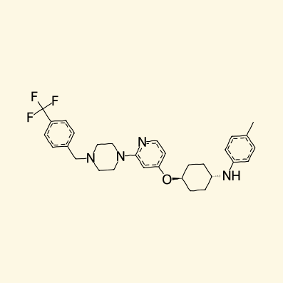 Cc1ccc(N[C@H]2CC[C@H](Oc3ccnc(N4CCN(Cc5ccc(C(F)(F)F)cc5)CC4)c3)CC2)cc1